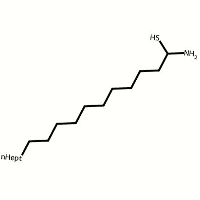 CCCCCCCCCCCCCCCCCC(N)S